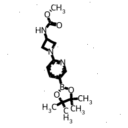 COC(=O)NC1CN(c2ccc(B3OC(C)(C)C(C)(C)O3)cn2)C1